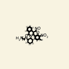 Cc1ccc(C2C(C(=O)N=O)c3ccccc3C(=O)N2C2CCCCC2N=NN)cc1[N+](=O)[O-]